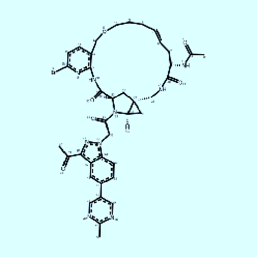 CC(=O)N[C@H]1C/C=C/CCCOCc2ccc(Br)nc2NC(=O)[C@@H]2C[C@@]3(CNC1=O)C[C@H]3N2C(=O)Cn1nc(C(C)=O)c2cc(-c3cnc(C)nc3)ccc21